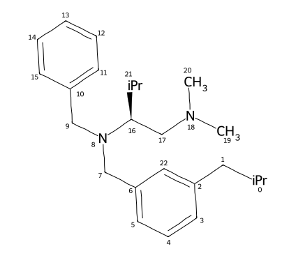 CC(C)Cc1cccc(CN(Cc2ccccc2)[C@H](CN(C)C)C(C)C)c1